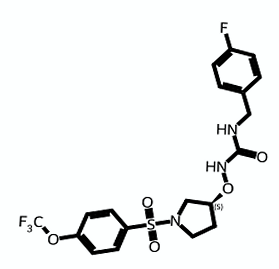 O=C(NCc1ccc(F)cc1)NO[C@H]1CCN(S(=O)(=O)c2ccc(OC(F)(F)F)cc2)C1